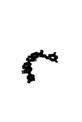 C[C@H]1CN(CCNC(=O)c2ccc(F)c(NC(=O)c3cnc4[nH]c(-c5cnn(C)c5)cc4c3)c2)C[C@H](C)O1